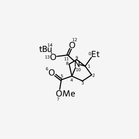 CCC12CCC(C(=O)OC)(CC1)N2C(=O)OC(C)(C)C